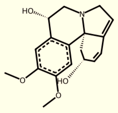 COc1cc2c(cc1OC)[C@]13C[C@@H](O)C=CC1=CCN3C[C@H]2O